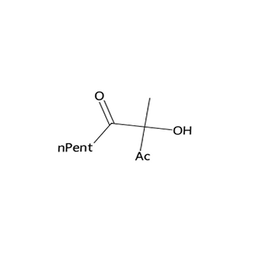 CCCCCC(=O)C(C)(O)C(C)=O